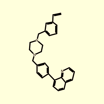 C=Cc1cccc(CN2CCN(Cc3ccc(-c4cccc5cccnc45)cc3)CC2)c1